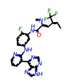 C=N/C(=C\C(=C/C)C(F)(F)F)C(=O)Nc1cc(Nc2ncccc2-c2ncnc3[nH]cnc23)ccc1F